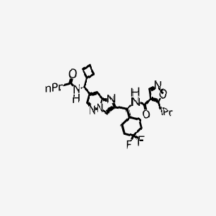 CCCC(=O)N[C@@H](c1cnn2cc([C@@H](NC(=O)c3cnoc3C(C)C)C3CCC(F)(F)CC3)nc2c1)C1CCC1